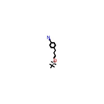 CC(C)(C)[Si](C)(C)OC=CCCc1ccc(C#N)cc1